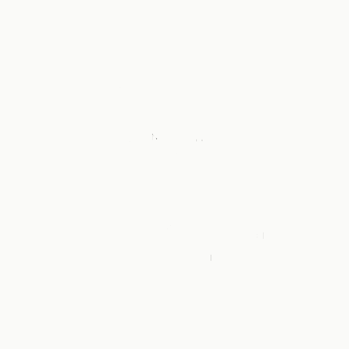 Cc1c(CC(=O)N2CC(C)(C)C2)ccc(Cl)c1F